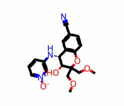 COCC1(COC)Oc2ccc(C#N)cc2[C@@H](Nc2ccc[n+]([O-])c2)[C@@H]1O